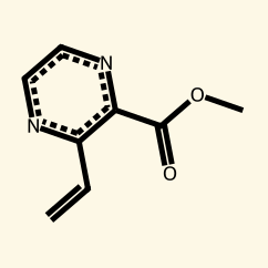 C=Cc1nccnc1C(=O)OC